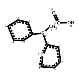 C[S+](c1ccccc1)c1ccccc1.O=[C-]O